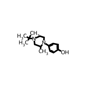 CC1CN(C(C)(C)C)CCN1c1ccc(O)cc1